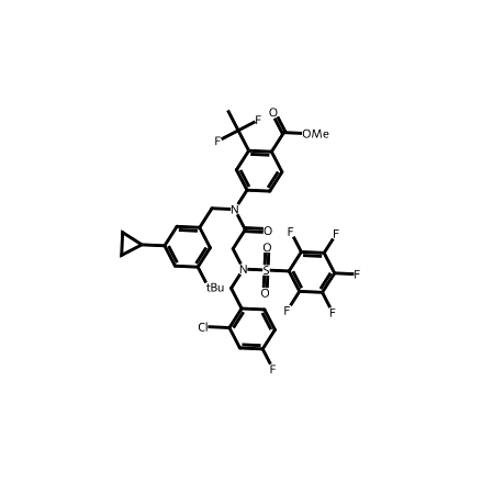 COC(=O)c1ccc(N(Cc2cc(C3CC3)cc(C(C)(C)C)c2)C(=O)CN(Cc2ccc(F)cc2Cl)S(=O)(=O)c2c(F)c(F)c(F)c(F)c2F)cc1C(C)(F)F